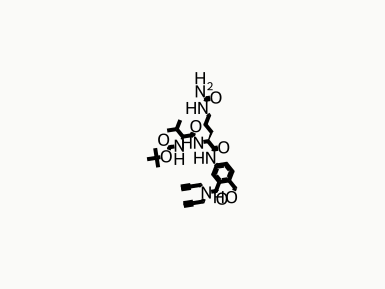 C#CCN(CC#C)C(=O)c1cc(NC(=O)[C@H](CCCNC(N)=O)NC(=O)[C@@H](NC(=O)OC(C)(C)C)C(C)C)ccc1CO